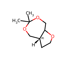 CC1(C)OCC2OCC[C@@H]2CO1